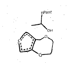 CCCCCC(C)O.c1scc2c1OCCO2